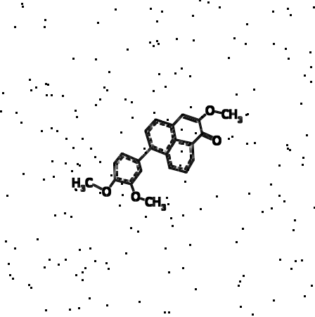 COC1=Cc2ccc(-c3ccc(OC)c(OC)c3)c3cccc(c23)C1=O